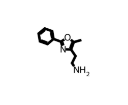 Cc1oc(-c2ccccc2)nc1CCN